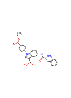 CCOC(=O)c1ccc(-n2cc(C(=O)O)c3cc(NC(=O)C(N)Cc4ccccc4)ccc32)cc1